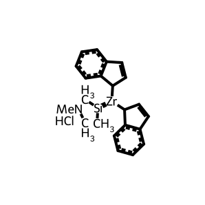 CNC.C[Si](C)=[Zr]([CH]1C=Cc2ccccc21)[CH]1C=Cc2ccccc21.Cl